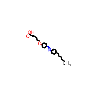 CCCCCCc1ccc(/N=N/c2ccc(OCCCC#CC(=O)O)cc2)cc1